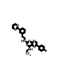 Fc1ccc(-c2cnc3nc(NCCc4cccc(-c5ncccn5)c4)nc(NCC(F)(F)F)c3n2)cc1